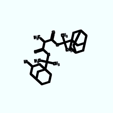 CCC1CC2CCCC(C(C)(C)OC(=O)C(C)C(=O)OC(C)(C)C34CC5CC(CC(C5)C3)C4)(C1)C2